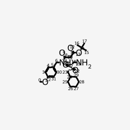 COc1ccc(CNC(=O)[C@H](C(=O)OC(C)(C)C)C(N)S(=O)(=O)CC2CCCCC2)cc1